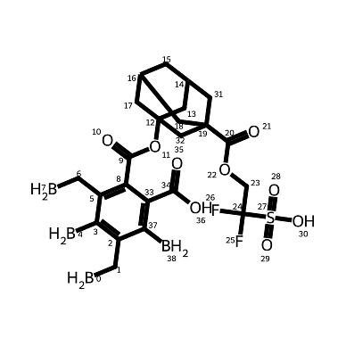 BCc1c(B)c(CB)c(C(=O)OC23CC4CC(C2)CC(C(=O)OCC(F)(F)S(=O)(=O)O)(C4)C3)c(C(=O)O)c1B